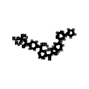 CC(c1ccnc(Nc2nc3ccc(-c4cc(N5CCCC5)ncn4)cc3[nH]2)c1)N1CCN(C(=O)OC(C)(C)C)CC1